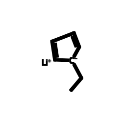 CC[c-]1cccc1.[Li+]